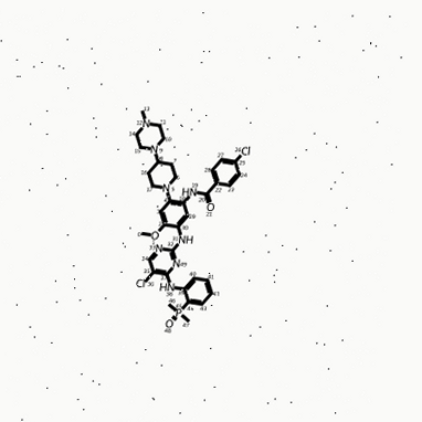 COc1cc(N2CCC(N3CCN(C)CC3)CC2)c(NC(=O)c2ccc(Cl)cc2)cc1Nc1ncc(Cl)c(Nc2ccccc2P(C)(C)=O)n1